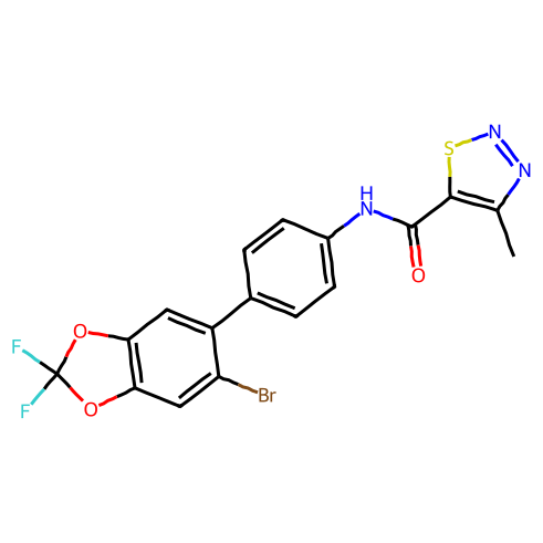 Cc1nnsc1C(=O)Nc1ccc(-c2cc3c(cc2Br)OC(F)(F)O3)cc1